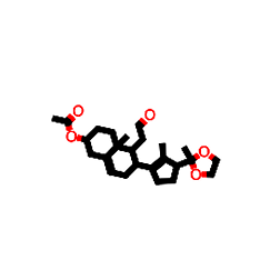 CC(=O)OC1CCC2(C)C(=CCC(C3=C(C)C(C4(C)OCCO4)CC3)C2CC=O)C1